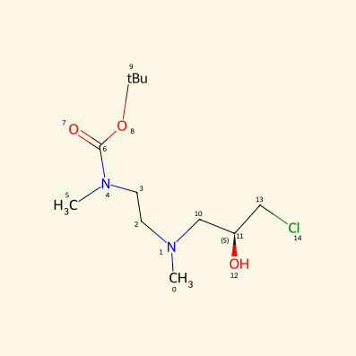 CN(CCN(C)C(=O)OC(C)(C)C)C[C@H](O)CCl